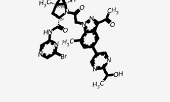 CC(=O)c1nn(CC(=O)N2[C@H](C(=O)Nc3cncc(Br)n3)C[C@@]3(C)C[C@@H]23)c2c(C)cc(-c3cnc(C(C)O)nc3)cc12